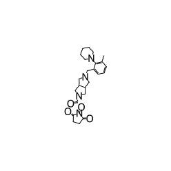 Cc1cccc(CN2CC3CN(C(=O)ON4C(=O)CCC4=O)CC3C2)c1N1CCCCC1